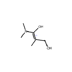 C/C(CO)=C(/O)N(C)C